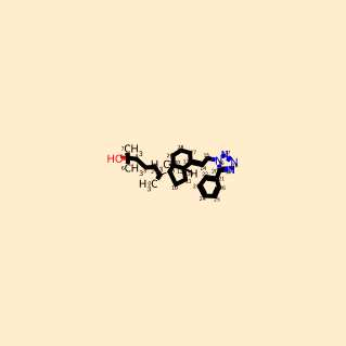 CC(CCCC(C)(C)O)[C@H]1CC[C@H]2/C(=C/Cn3nnnc3-c3ccccc3)CCC[C@]12C